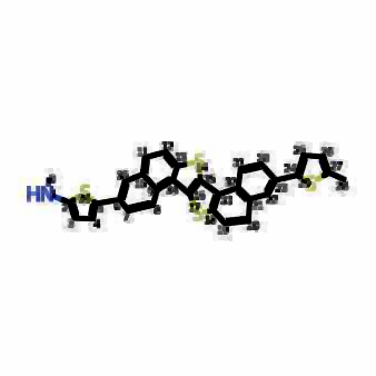 CNc1ccc(-c2ccc3c(ccc4sc5c(sc6ccc7cc(-c8ccc(C)s8)ccc7c65)c43)c2)s1